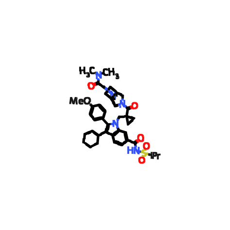 COc1ccc(-c2c(C3CCCCC3)c3ccc(C(=O)NS(=O)(=O)C(C)C)cc3n2CC2(C(=O)N3CC45CCC4(CN(C(=O)N(C)C)C5)C3)CC2)cc1